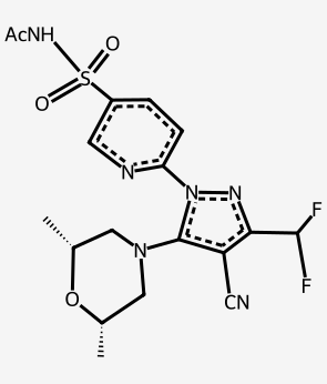 CC(=O)NS(=O)(=O)c1ccc(-n2nc(C(F)F)c(C#N)c2N2C[C@@H](C)O[C@@H](C)C2)nc1